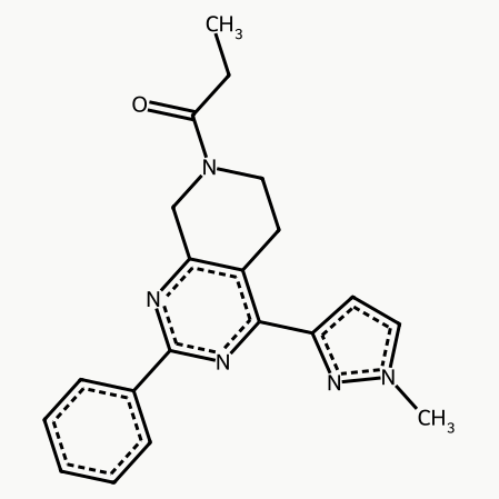 CCC(=O)N1CCc2c(nc(-c3ccccc3)nc2-c2ccn(C)n2)C1